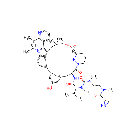 CCn1c(-c2cccnc2C(C)C)c2c3cc(ccc31)-c1cc(O)cc(c1)C[C@H](NC(=O)[C@H](C(C)C)N(C)C(=O)N(C)CCN(C)C(=O)[C@H]1CN1)C(=O)N1CCC[C@H](N1)C(=O)OCC(C)(C)C2